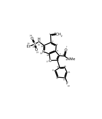 C=Cc1cc2c(C(=O)NC)c(-c3ccc(F)cc3)oc2nc1NS(=O)(=O)CC